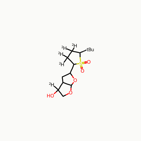 [2H]C1(O)COC2OC(C3C([2H])([2H])C([2H])([2H])C(C(C)(C)C)S3(=O)=O)CC21